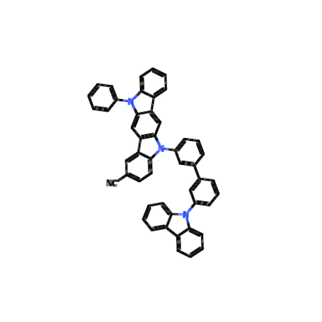 N#Cc1ccc2c(c1)c1cc3c(cc1n2-c1cccc(-c2cccc(-n4c5ccccc5c5ccccc54)c2)c1)c1ccccc1n3-c1ccccc1